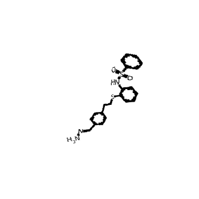 NN=Cc1ccc(CCSc2ccccc2NS(=O)(=O)c2ccccc2)cc1